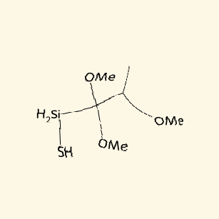 COC(C)C(OC)(OC)[SiH2]S